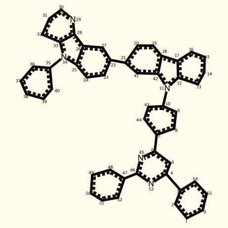 c1ccc(-c2cc(-c3ccc(-n4c5ccccc5c5ccc(-c6ccc7c(c6)c6ncccc6n7-c6ccccc6)cc54)cc3)nc(-c3ccccc3)n2)cc1